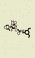 CCC1CC(CC)CC(CNC(=O)COc2nc(=O)[nH]c(N3CCOCC3C)c2F)C1